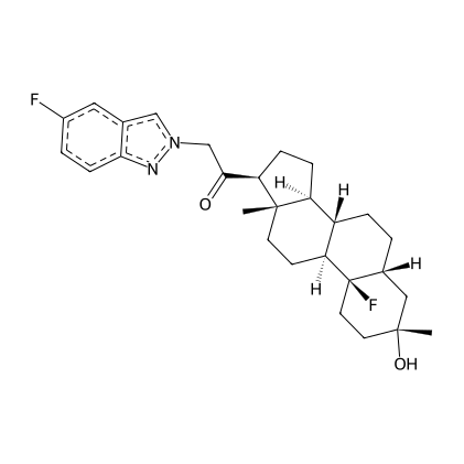 C[C@@]1(O)CC[C@@]2(F)[C@H](CC[C@H]3[C@@H]4CC[C@H](C(=O)Cn5cc6cc(F)ccc6n5)[C@@]4(C)CC[C@@H]32)C1